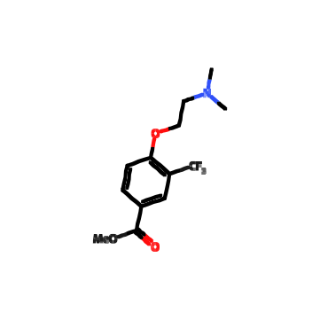 COC(=O)c1ccc(OCCN(C)C)c(C(F)(F)F)c1